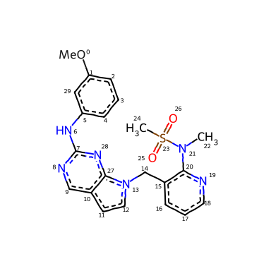 COc1cccc(Nc2ncc3ccn(Cc4cccnc4N(C)S(C)(=O)=O)c3n2)c1